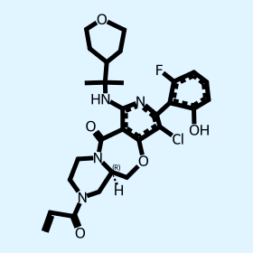 C=CC(=O)N1CCN2C(=O)c3c(NC(C)(C)C4CCOCC4)nc(-c4c(O)cccc4F)c(Cl)c3OC[C@H]2C1